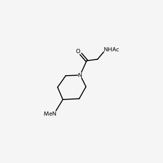 CNC1CCN(C(=O)CNC(C)=O)CC1